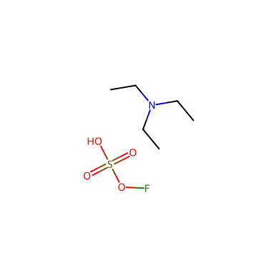 CCN(CC)CC.O=S(=O)(O)OF